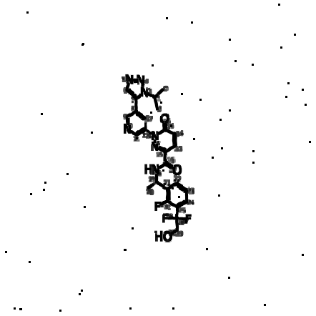 CC(C)n1nncc1-c1cncc(-n2nc(C(=O)N[C@H](C)c3cccc(C(F)(F)CO)c3F)ccc2=O)c1